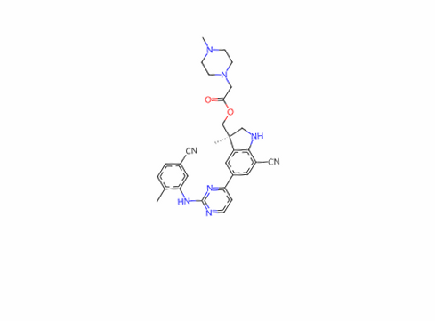 Cc1ccc(C#N)cc1Nc1nccc(-c2cc(C#N)c3c(c2)[C@@](C)(COC(=O)CN2CCN(C)CC2)CN3)n1